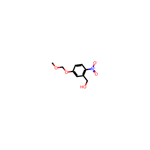 COCOc1ccc([N+](=O)[O-])c(CO)c1